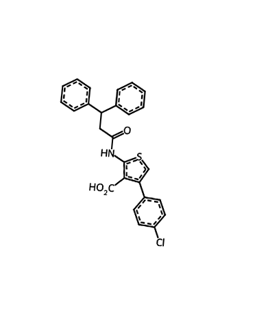 O=C(CC(c1ccccc1)c1ccccc1)Nc1scc(-c2ccc(Cl)cc2)c1C(=O)O